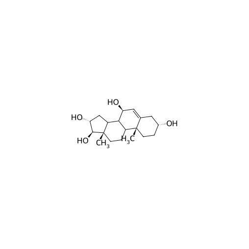 C[C@]12CC[C@@H](O)CC1=C[C@H](O)C1C2CC[C@@]2(C)C1C[C@@H](O)[C@@H]2O